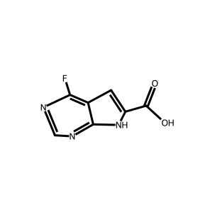 O=C(O)c1cc2c(F)ncnc2[nH]1